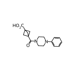 O=C(O)C12CC(C(=O)N3CCN(c4ccccc4)CC3)(C1)C2